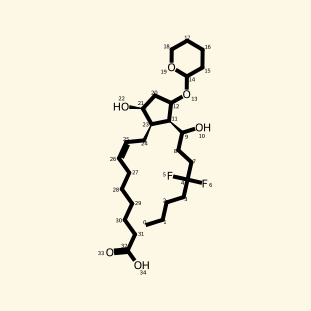 CCCCC(F)(F)CCC(O)[C@@H]1C(OC2CCCCO2)C[C@H](O)[C@@H]1C/C=C\CCCCCC(=O)O